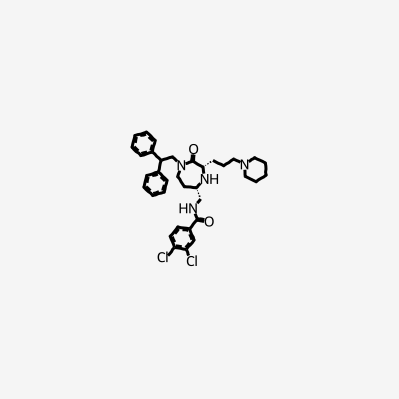 O=C(NC[C@@H]1CCN(CC(c2ccccc2)c2ccccc2)C(=O)[C@H](CCCN2CCCCC2)N1)c1ccc(Cl)c(Cl)c1